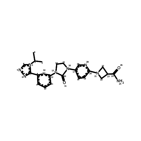 CC(C)n1cnnc1-c1cccc(N2CCN(c3ccc(N4CC(C(N)=O)C4)nc3)C2=O)n1